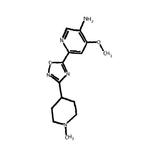 COc1cc(-c2nc(C3CCN(C)CC3)no2)ncc1N